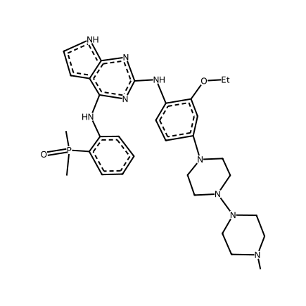 CCOc1cc(N2CCN(N3CCN(C)CC3)CC2)ccc1Nc1nc(Nc2ccccc2P(C)(C)=O)c2cc[nH]c2n1